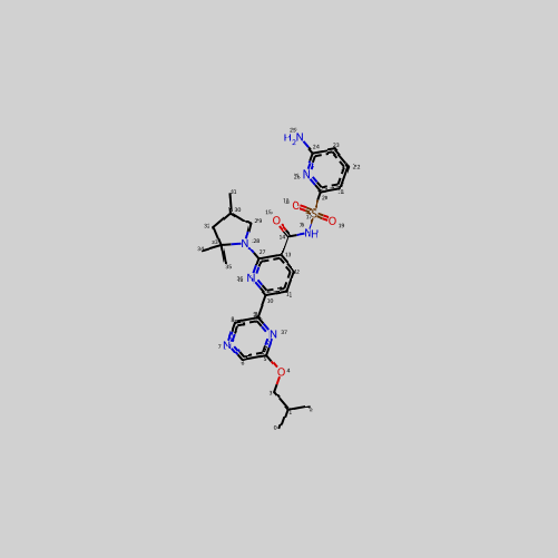 CC(C)COc1cncc(-c2ccc(C(=O)NS(=O)(=O)c3cccc(N)n3)c(N3CC(C)CC3(C)C)n2)n1